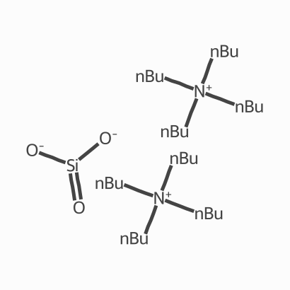 CCCC[N+](CCCC)(CCCC)CCCC.CCCC[N+](CCCC)(CCCC)CCCC.O=[Si]([O-])[O-]